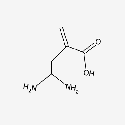 C=C(CC(N)N)C(=O)O